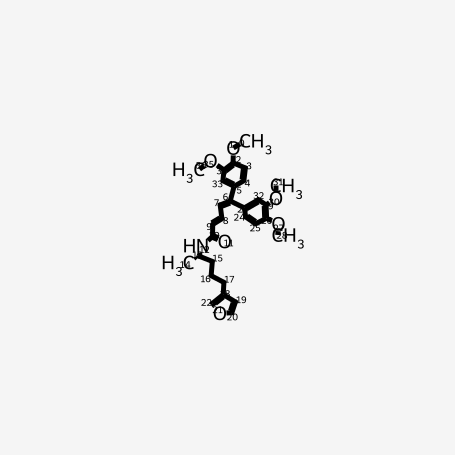 COc1ccc(C(=C/C=C/C(=O)N[C@H](C)CCCc2ccoc2)c2ccc(OC)c(OC)c2)cc1OC